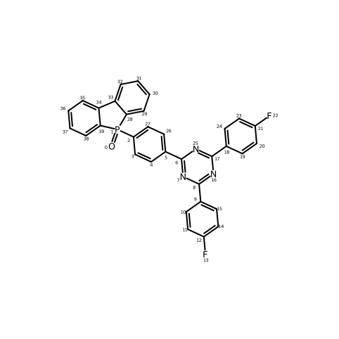 O=P1(c2ccc(-c3nc(-c4ccc(F)cc4)nc(-c4ccc(F)cc4)n3)cc2)c2ccccc2-c2ccccc21